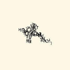 Cc1cccc(Cn2cc(CN(C(=O)C3CCCc4c(O)cccc43)c3ccc(C(C)C)nc3)cn2)n1.Cl.Cl